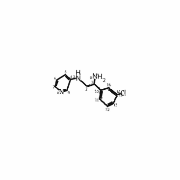 NC(CNc1cccnc1)c1cccc(Cl)c1